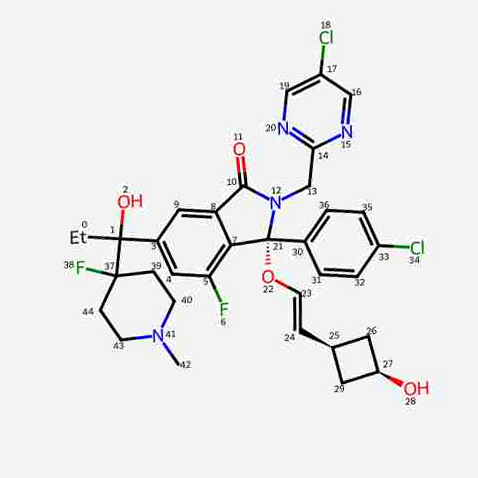 CCC(O)(c1cc(F)c2c(c1)C(=O)N(Cc1ncc(Cl)cn1)[C@@]2(O/C=C/[C@H]1C[C@@H](O)C1)c1ccc(Cl)cc1)C1(F)CCN(C)CC1